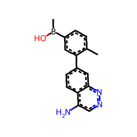 CB(O)c1ccc(C)c(-c2ccc3c(N)cnnc3c2)c1